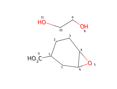 O=C(O)C1CCC2OC2C1.OCCO